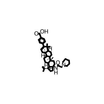 C=C(C)[C@@H]1CC[C@]2(NC(=O)CN3CCCCC3)CC[C@]3(C)[C@H](CC[C@@H]4[C@@]5(C)CC=C(c6ccc(C(=O)O)cc6)C(C)(C)[C@@H]5CC[C@]43C)[C@@H]12